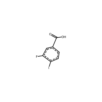 O=C(O)c1ccc(I)c(F)c1